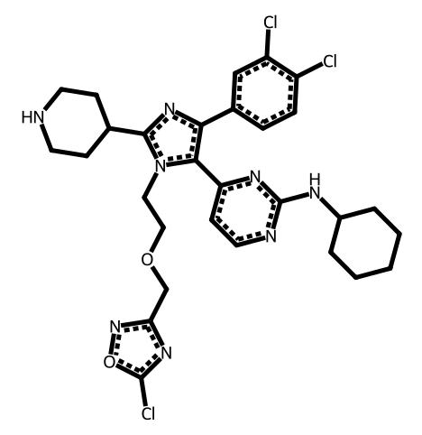 Clc1nc(COCCn2c(C3CCNCC3)nc(-c3ccc(Cl)c(Cl)c3)c2-c2ccnc(NC3CCCCC3)n2)no1